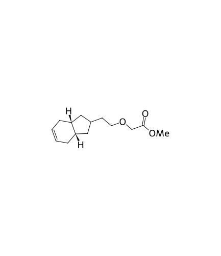 COC(=O)COCCC1C[C@H]2CC=CC[C@H]2C1